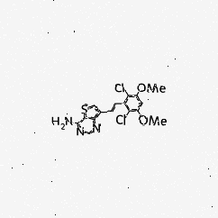 COc1cc(OC)c(Cl)c(/C=C/c2csc3c(N)ncnc23)c1Cl